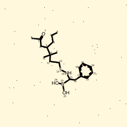 CCCC(CC(C)=O)C(C)(C)CCSNC(Cc1ccccc1)B(O)O